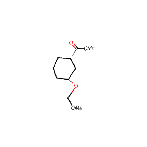 COCO[C@@H]1CCC[C@H](C(=O)OC)C1